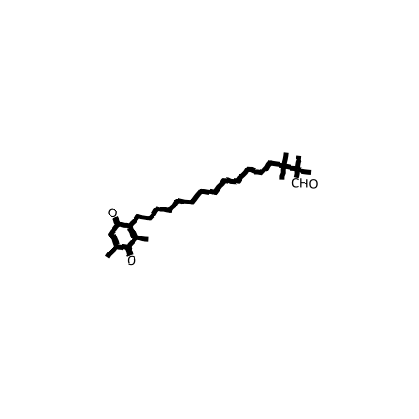 CC1=CC(=O)C(CCCCCCCCCCCCCC(C)(C)C(C)(C)C=O)=C(C)C1=O